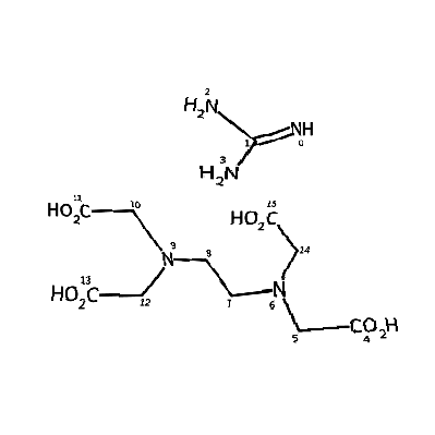 N=C(N)N.O=C(O)CN(CCN(CC(=O)O)CC(=O)O)CC(=O)O